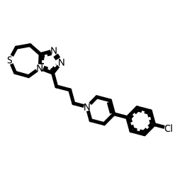 Clc1ccc(C2=CCN(CCCc3nnc4n3CCSCC4)CC2)cc1